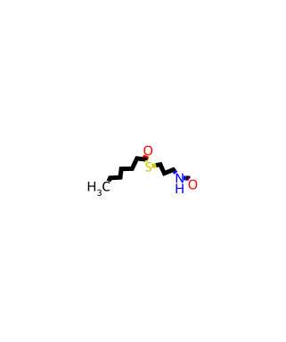 CCCCCCC(=O)SCCCNC=O